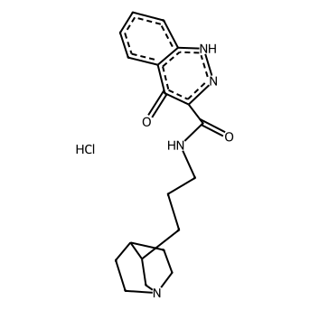 Cl.O=C(NCCCC1CN2CCC1CC2)c1n[nH]c2ccccc2c1=O